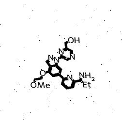 CCC(N)c1cccc(-c2cc(OCCOC)c3cnn(-c4cncc(CO)n4)c3c2)n1